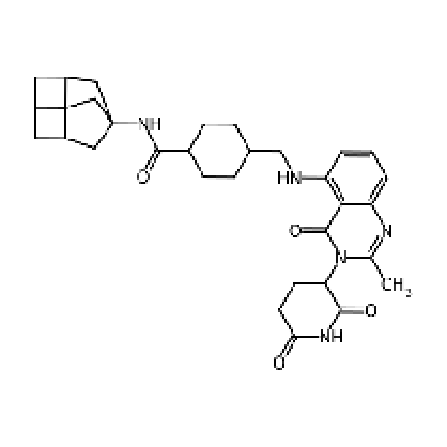 Cc1nc2cccc(NCC3CCC(C(=O)NC45CC6CC7CC(C4)C76C5)CC3)c2c(=O)n1C1CCC(=O)NC1=O